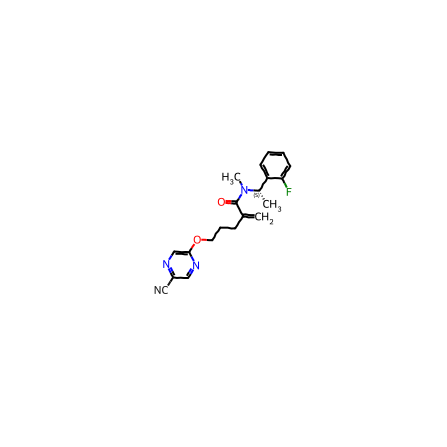 C=C(CCCOc1cnc(C#N)cn1)C(=O)N(C)[C@@H](C)c1ccccc1F